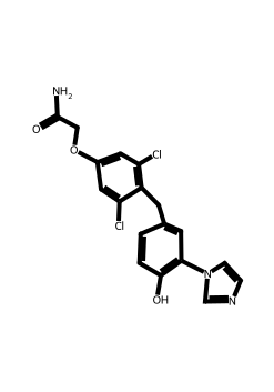 NC(=O)COc1cc(Cl)c(Cc2ccc(O)c(-n3ccnc3)c2)c(Cl)c1